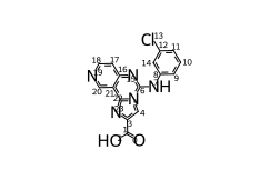 O=C(O)c1cn2c(Nc3cccc(Cl)c3)nc3ccncc3c2n1